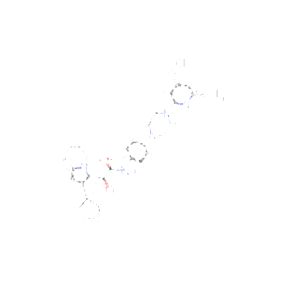 COc1cc(C)nc(N2CCN(c3ccc(NC(=O)C(=O)c4c(C5CCCC5)cc5n4CCCC5)cc3)CC2)c1